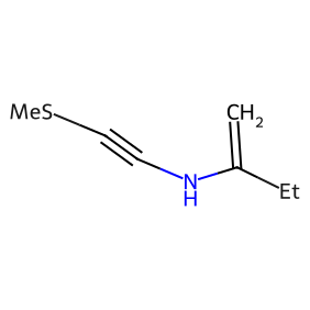 C=C(CC)NC#CSC